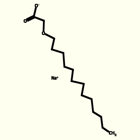 CCCCCCCCCCCCCOCC(=O)[O-].[Na+]